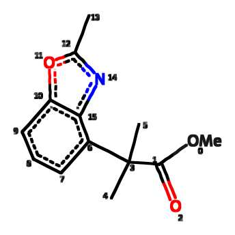 COC(=O)C(C)(C)c1cccc2oc(C)nc12